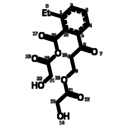 CCc1cccc(C(=O)CCOC(=O)CO)c1C(=O)OC(=O)CO